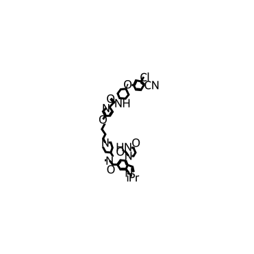 CC(C)n1ccc2c(N3CCC(=O)NC3=O)cc(C(=O)N(C)CC3CCN(CCCCOc4ccc(C(=O)N[C@H]5CC[C@H](Oc6ccc(C#N)c(Cl)c6)CC5)nc4)CC3)cc21